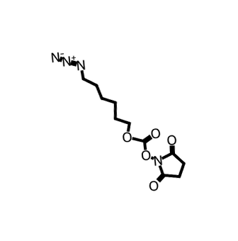 [N-]=[N+]=NCCCCCCOC(=O)ON1C(=O)CCC1=O